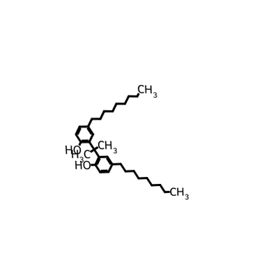 CCCCCCCCCc1ccc(O)c(C(C)(C)c2cc(CCCCCCCCC)ccc2O)c1